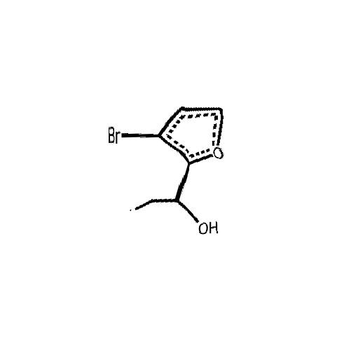 [CH2]C(O)c1occc1Br